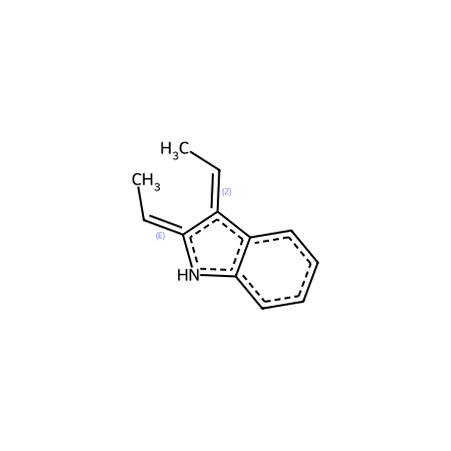 C/C=c1\c(=C/C)[nH]c2ccccc12